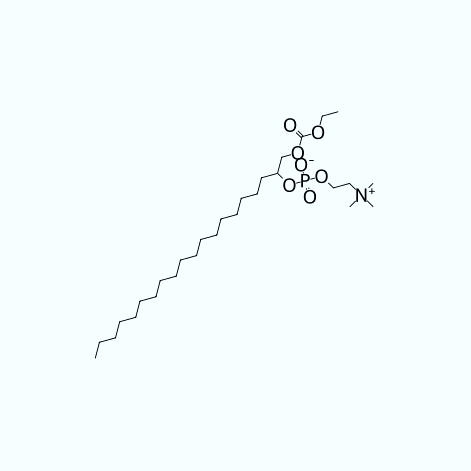 CCCCCCCCCCCCCCCCCCC(COC(=O)OCC)OP(=O)([O-])OCC[N+](C)(C)C